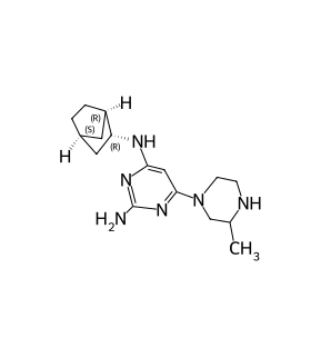 CC1CN(c2cc(N[C@@H]3C[C@H]4CC[C@@H]3C4)nc(N)n2)CCN1